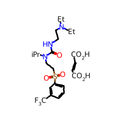 CCN(CC)CCNC(=O)N(CCS(=O)(=O)c1cccc(C(F)(F)F)c1)C(C)C.O=C(O)C=CC(=O)O